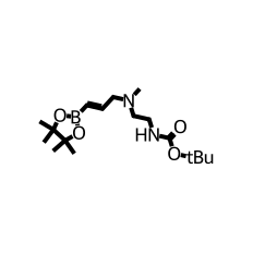 CN(C/C=C/B1OC(C)(C)C(C)(C)O1)CCNC(=O)OC(C)(C)C